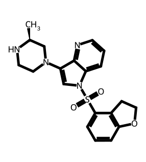 C[C@H]1CN(c2cn(S(=O)(=O)c3cccc4c3CCO4)c3cccnc23)CCN1